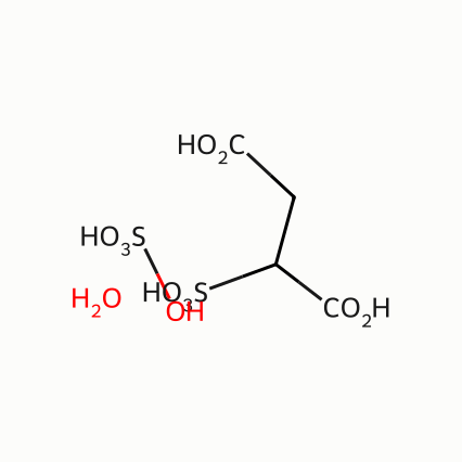 O.O=C(O)CC(C(=O)O)S(=O)(=O)O.O=S(=O)(O)O